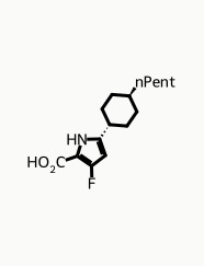 CCCCC[C@H]1CC[C@H](c2cc(F)c(C(=O)O)[nH]2)CC1